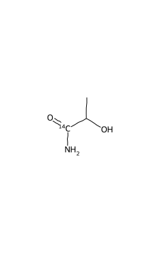 CC(O)[14C](N)=O